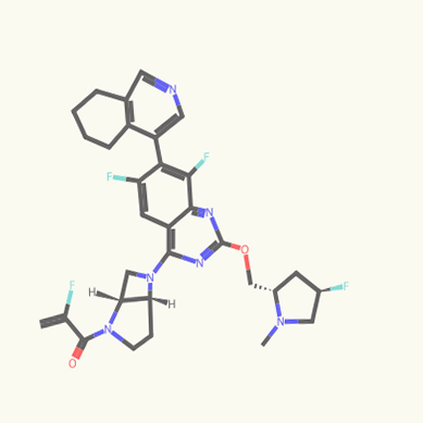 C=C(F)C(=O)N1CC[C@@H]2[C@H]1CN2c1nc(OC[C@@H]2C[C@@H](F)CN2C)nc2c(F)c(-c3cncc4c3CCCC4)c(F)cc12